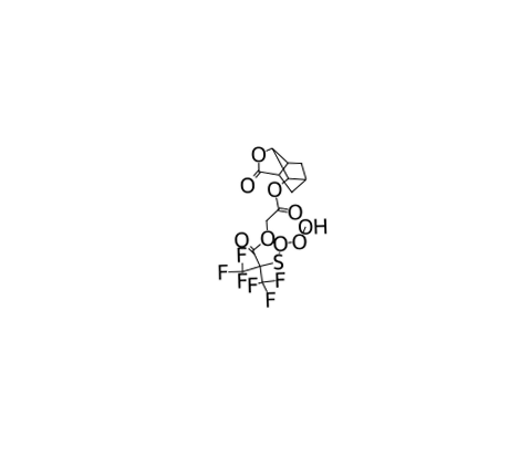 O=C(COC(=O)C(SOOO)(C(F)(F)F)C(F)(F)F)OC1C2CC3C(=O)OC1C3C2